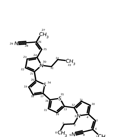 CCCn1c(/C=C(/C)C#N)ccc1-c1ccc(-c2ccc(-c3ccc(/C=C(/C)C#N)n3CCC)s2)s1